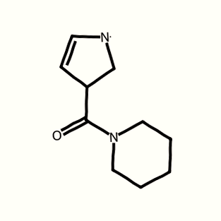 O=C(C1C=C[N]C1)N1CCCCC1